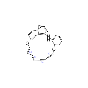 C1=C\C=C\Oc2ccccc2Nc2ncnc3ccc(cc23)O/C=C/C=C/1